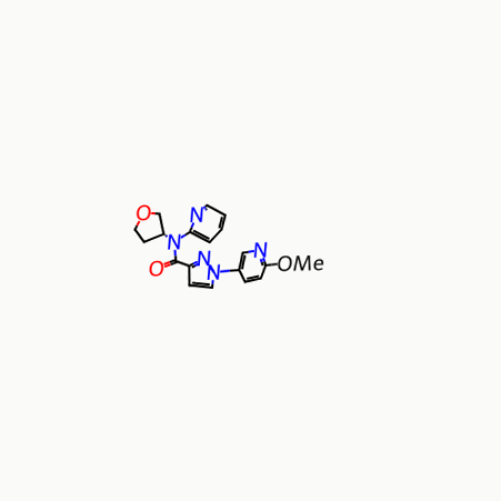 COc1ccc(-n2ccc(C(=O)N(c3ccccn3)[C@@H]3CCOC3)n2)cn1